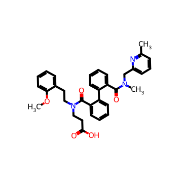 COc1ccccc1CCN(CCC(=O)O)C(=O)c1ccccc1-c1ccccc1C(=O)N(C)Cc1cccc(C)n1